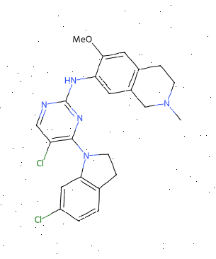 COc1cc2c(cc1Nc1ncc(Cl)c(N3CCc4ccc(Cl)cc43)n1)CN(C)CC2